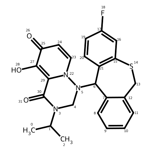 CC(C)N1CN(C2c3ccccc3CSc3cc(F)ccc32)n2ccc(=O)c(O)c2C1=O